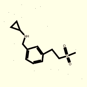 CS(=O)(=O)CCc1cccc(CNC2CC2)c1